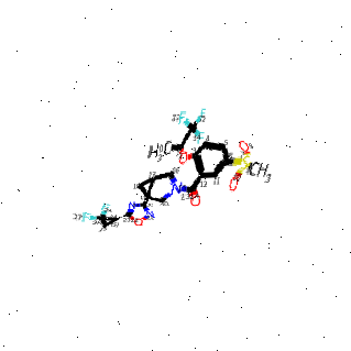 CC(Oc1ccc(S(C)(=O)=O)cc1C(=O)N1CC2CC2(c2noc([C@@H]3CC3(F)F)n2)C1)C(F)(F)F